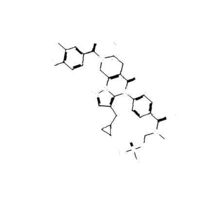 Cc1cc(C(=O)N2Cc3c(c(=O)n(-c4ccc(C(=O)N(C)COP(C)(=O)O)cc4)c4c(CC5CC5)cnn34)C[C@H]2C)ccc1Br